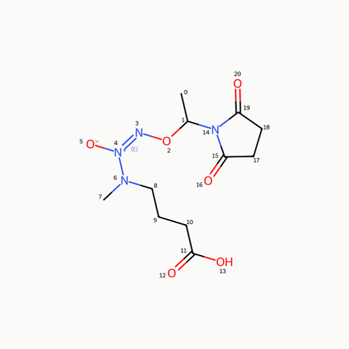 CC(O/N=[N+](/[O-])N(C)CCCC(=O)O)N1C(=O)CCC1=O